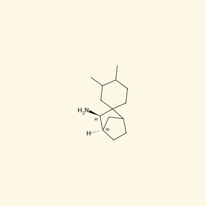 CC1CCC2(CC1C)C1CC[C@H](C1)[C@H]2N